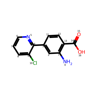 Nc1cc(-c2ncccc2Cl)ccc1C(=O)O